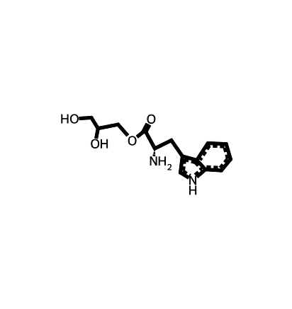 N[C@@H](Cc1c[nH]c2ccccc12)C(=O)OCC(O)CO